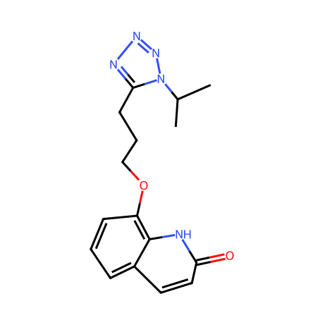 CC(C)n1nnnc1CCCOc1cccc2ccc(=O)[nH]c12